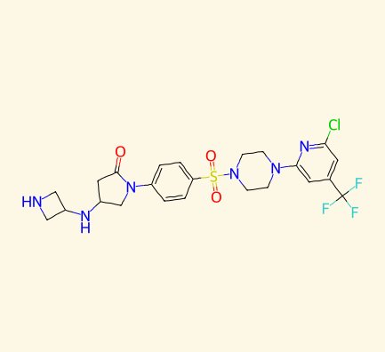 O=C1CC(NC2CNC2)CN1c1ccc(S(=O)(=O)N2CCN(c3cc(C(F)(F)F)cc(Cl)n3)CC2)cc1